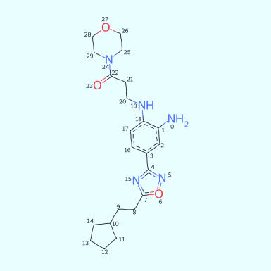 Nc1cc(-c2noc(CCC3CCCC3)n2)ccc1NCCC(=O)N1CCOCC1